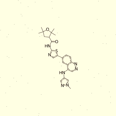 Cn1cc(Nc2cnnc3ccc(-c4cnc(NC(=O)C5CC(C)(C)OC5(C)C)s4)cc23)cn1